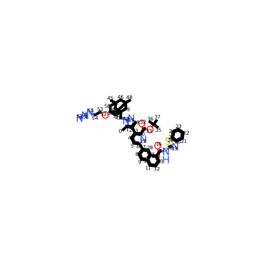 Cc1c(-c2ccc(-c3ccc4cccc(C(=O)Nc5nc6ccccc6s5)c4c3)nc2C(=O)OC(C)(C)C)cnn1CC12CC3(C)CC(C)(C1)CC(OCCN=[N+]=[N-])(C3)C2